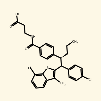 CCC[C@H](c1ccc(C(=O)NCCC(=O)O)cc1)C(c1ccc(Cl)cc1)c1sc2c(Cl)cccc2c1C